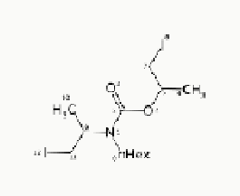 CCCCCCN(C(=O)OC(C)CI)C(C)CI